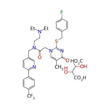 CCN(CC)CCN(Cc1ccc(-c2ccc(C(F)(F)F)cc2)nc1)C(=O)Cn1cc(C)c(=O)nc1SCc1ccc(F)cc1.O=C(O)C(O)C(O)C(=O)O